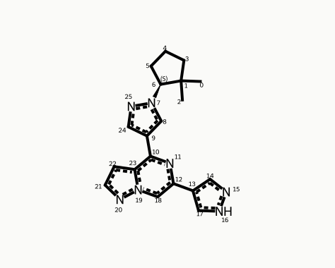 CC1(C)CCC[C@@H]1n1cc(-c2nc(-c3cn[nH]c3)cn3nccc23)cn1